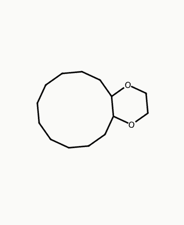 C1CCCCCC2OCCOC2CCCC1